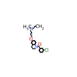 C=CCN(C)C/C=C/COc1ccc2c(c1)CCCN2C(=O)c1cccc(Cl)c1